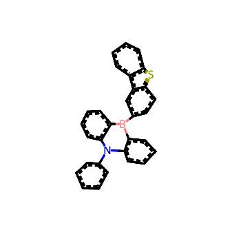 c1ccc(N2c3ccccc3B(c3ccc4sc5ccccc5c4c3)c3ccccc32)cc1